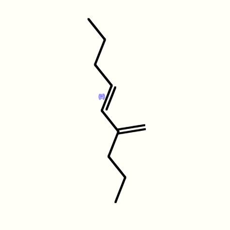 C=C(/C=C/CCC)CCC